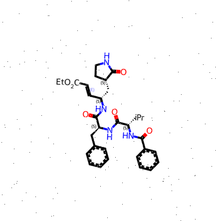 CCOC(=O)/C=C/[C@H](C[C@@H]1CCNC1=O)NC(=O)[C@H](Cc1ccccc1)NC(=O)[C@@H](NC(=O)c1ccccc1)C(C)C